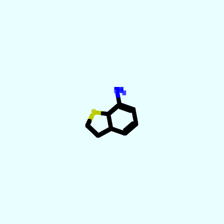 NC1=CC=CC2CCSC12